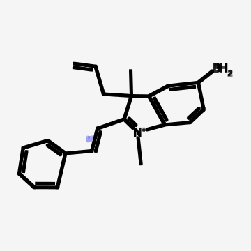 Bc1ccc2c(c1)C(C)(CC=C)C(/C=C/c1ccccc1)=[N+]2C